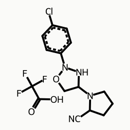 N#CC1CCCN1C1CON(c2ccc(Cl)cc2)N1.O=C(O)C(F)(F)F